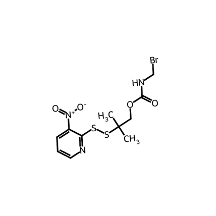 CC(C)(COC(=O)NCBr)SSc1ncccc1[N+](=O)[O-]